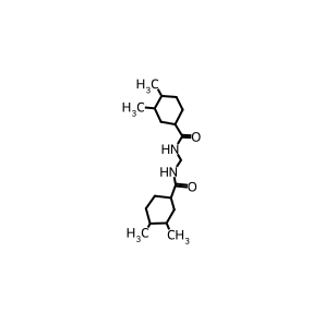 CC1CCC(C(=O)NCNC(=O)C2CCC(C)C(C)C2)CC1C